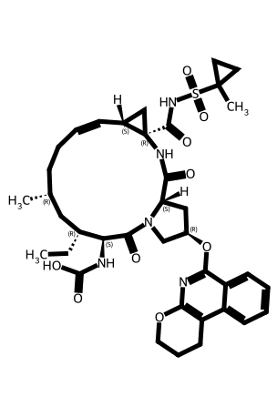 CC[C@@H]1C[C@H](C)CCC=C[C@@H]2C[C@@]2(C(=O)NS(=O)(=O)C2(C)CC2)NC(=O)[C@@H]2C[C@@H](Oc3nc4c(c5ccccc35)CCCO4)CN2C(=O)[C@H]1NC(=O)O